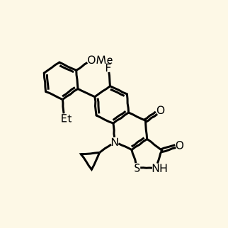 CCc1cccc(OC)c1-c1cc2c(cc1F)c(=O)c1c(=O)[nH]sc1n2C1CC1